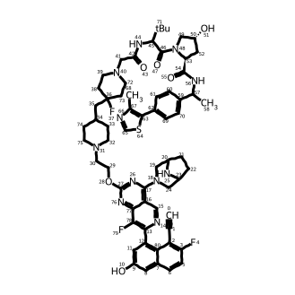 C#Cc1c(F)ccc2cc(O)cc(-c3ncc4c(N5CC6CCC(C5)N6)nc(OCCN5CCC(CC6(F)CCN(CC(=O)NC(C(=O)N7C[C@H](O)C[C@H]7C(=O)NC(C)c7ccc(-c8scnc8C)cc7)C(C)(C)C)CC6)CC5)nc4c3F)c12